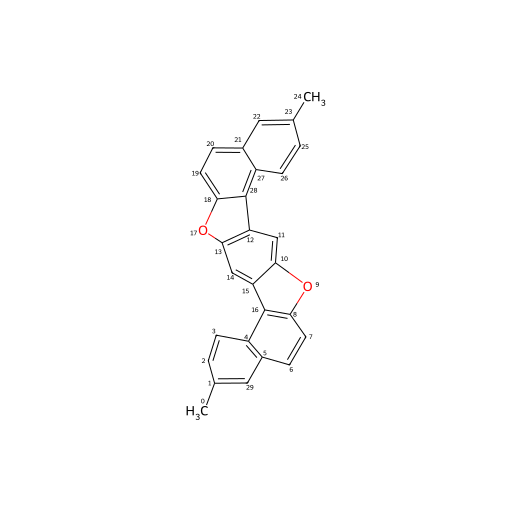 Cc1ccc2c(ccc3oc4cc5c(cc4c32)oc2ccc3cc(C)ccc3c25)c1